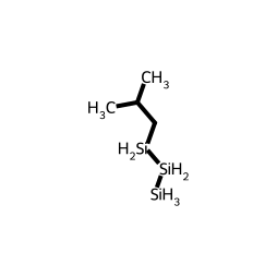 CC(C)C[SiH2][SiH2][SiH3]